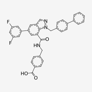 O=C(O)c1ccc(CNC(=O)c2cc(-c3cc(F)cc(F)c3)cc3cnn(Cc4ccc(-c5ccccc5)cc4)c23)cc1